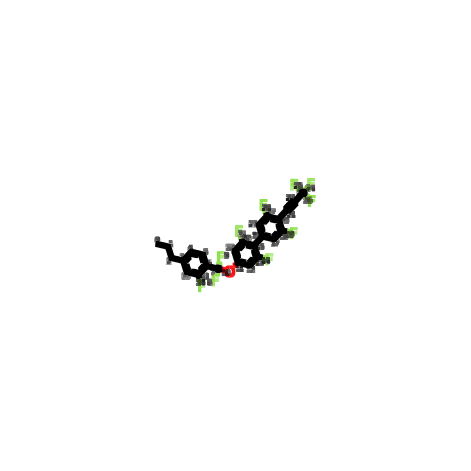 CCCc1ccc(C(F)(F)Oc2cc(F)c(-c3cc(F)c(C#CC(F)(F)F)c(F)c3)c(F)c2)c(F)c1